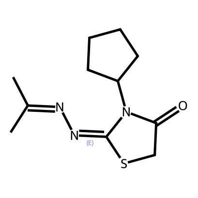 CC(C)=N/N=C1/SCC(=O)N1C1CCCC1